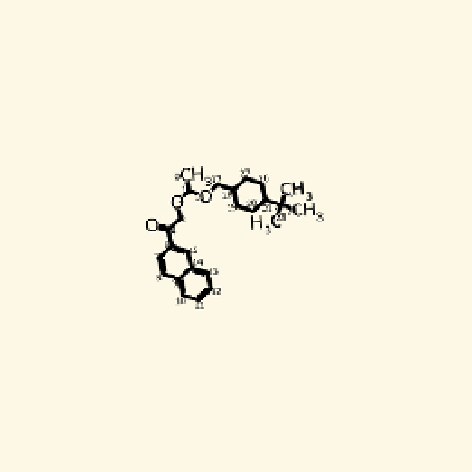 CC(OCC(=O)c1ccc2ccccc2c1)OCC1CCC(C(C)(C)C)CC1